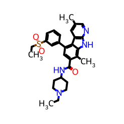 CCN1CCC(NC(=O)c2cc(-c3cccc(S(=O)(=O)CC)c3)c3c([nH]c4ncc(C)cc43)c2C)CC1